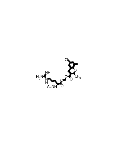 CC(=O)N[C@@H](CCCNC(=N)N)C(=O)OCOC(=O)C1=Cc2cc(Cl)cc(C)c2OC1C(F)(F)F